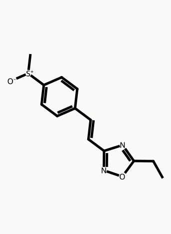 CCc1nc(C=Cc2ccc([S+](C)[O-])cc2)no1